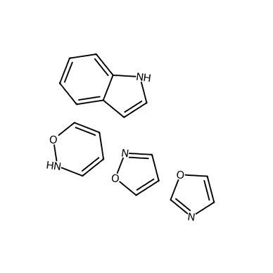 C1=CNOC=C1.c1ccc2[nH]ccc2c1.c1cnoc1.c1cocn1